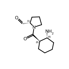 N[C@@H]1CCCC[C@H]1C(=O)N1CCC[C@H]1C=O